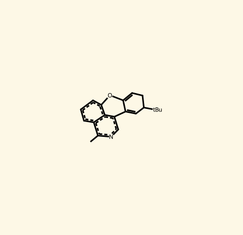 Cc1ncc2c3c(cccc13)OC1=CCC(C(C)(C)C)C=C12